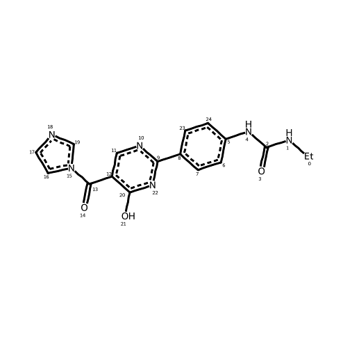 CCNC(=O)Nc1ccc(-c2ncc(C(=O)n3ccnc3)c(O)n2)cc1